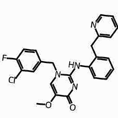 COc1cn(Cc2ccc(F)c(Cl)c2)c(Nc2ccccc2Cc2ccccn2)nc1=O